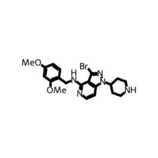 COc1ccc(CNc2nccc3c2c(Br)nn3C2CCNCC2)c(OC)c1